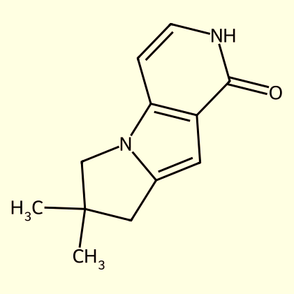 CC1(C)Cc2cc3c(=O)[nH]ccc3n2C1